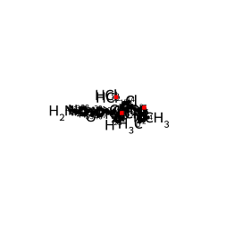 Cc1cc(C)c2cccc(OCc3c(Cl)ccc(S(=O)(=O)N4CCC[C@H]4C(=O)NCC4CCN(C(=O)Cc5ccc(C=NN)cc5)CC4)c3Cl)c2n1.Cl.Cl